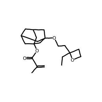 C=C(C)C(=O)OC12CC3CC(CC(OCCC4(CC)CCO4)(C3)C1)C2